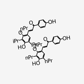 CCCOc1c(C=CC(=O)c2ccc(O)cc2)cc(C(C)C)c(O)c1C(C)C.CCCOc1c(C=CC(=O)c2ccc(O)cc2)cc(CCC)c(O)c1CCC